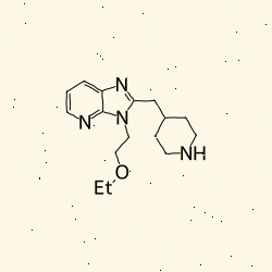 CCOCCn1c(CC2CCNCC2)nc2cccnc21